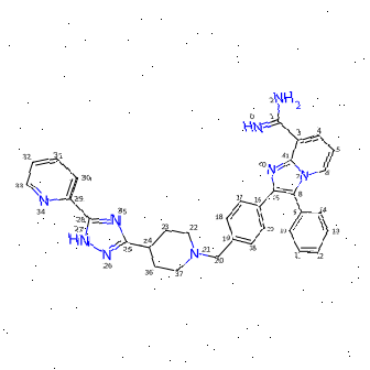 N=C(N)c1cccn2c(-c3ccccc3)c(-c3ccc(CN4CCC(c5n[nH]c(-c6ccccn6)n5)CC4)cc3)nc12